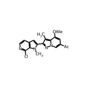 COc1cc(C(C)=O)cn2nc(-c3cc4ccnc(Cl)c4n3C)c(C)c12